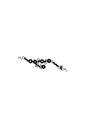 C=CC(=O)OCCCCCCOc1ccc(OC(=O)C2CCC(C(=O)Oc3ccc(C4CCC(CCCCC)CC4)cc3/C=N/Nc3nc4ccccc4s3)CC2)cc1